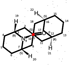 O=C1C[C@H]2CCC[C@@H](C1)N2[C@@H]1C[C@@H]2CCC[C@@H](C2)C1